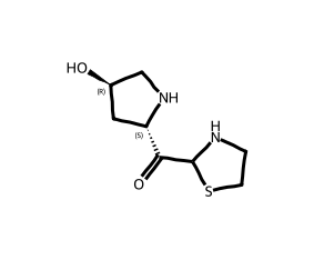 O=C(C1NCCS1)[C@@H]1C[C@@H](O)CN1